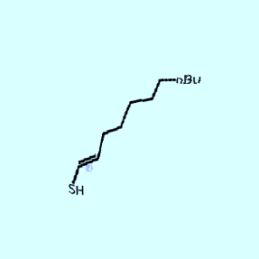 CCCCCCCCC/C=C/S